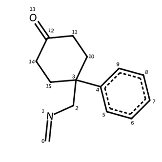 C=NCC1(c2ccccc2)CCC(=O)CC1